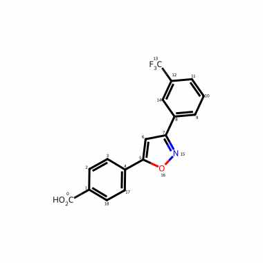 O=C(O)c1ccc(-c2cc(-c3cccc(C(F)(F)F)c3)no2)cc1